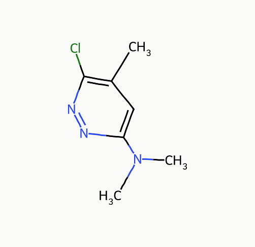 Cc1cc(N(C)C)nnc1Cl